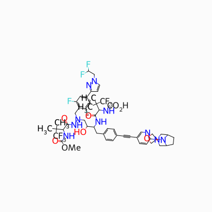 COC(=O)NC(C(=O)NN(Cc1c(F)cc(-c2ccn(CC(F)F)n2)cc1F)CC(O)C(Cc1ccc(C#Cc2ccc(N3CC4CCC(C3)N4C3COC3)nc2)cc1)NC(=O)C(NC(=O)O)C(C)(C)C(F)(F)F)C(C)(C)C(F)(F)F